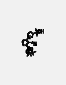 CC(C)(O)C1CCN(c2cccc(B3OC(C)(C)C(C)(C)O3)c2C#N)C1